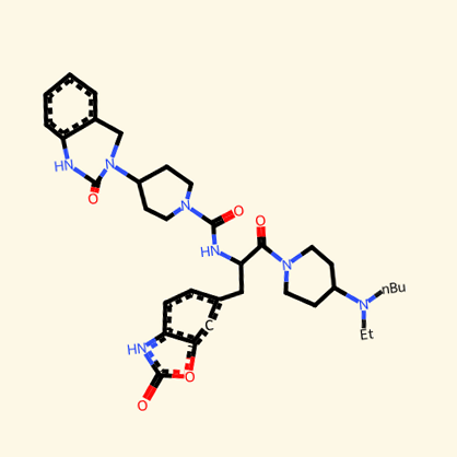 CCCCN(CC)C1CCN(C(=O)C(Cc2ccc3[nH]c(=O)oc3c2)NC(=O)N2CCC(N3Cc4ccccc4NC3=O)CC2)CC1